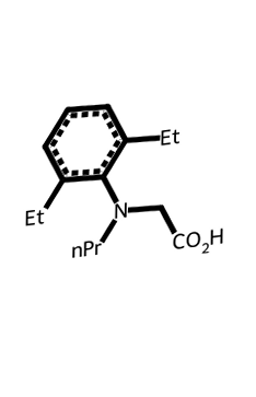 CCCN(CC(=O)O)c1c(CC)cccc1CC